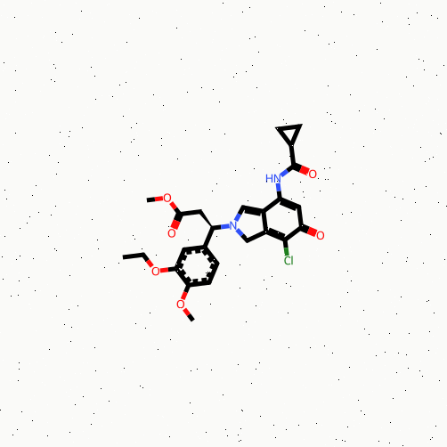 CCOc1cc([C@@H](CC(=O)OC)N2C=C3C(NC(=O)C4CC4)=CC(=O)C(Cl)=C3C2)ccc1OC